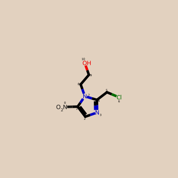 O=[N+]([O-])c1cnc(CCl)n1CCO